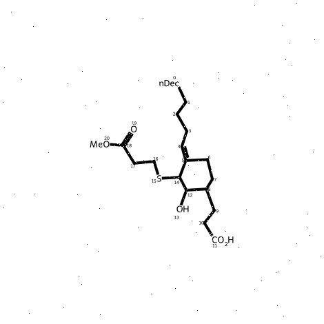 CCCCCCCCCCCCCC=C1CCC(CCC(=O)O)C(O)C1SCCC(=O)OC